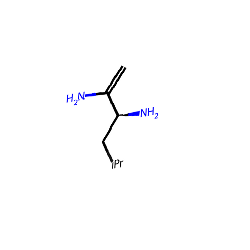 C=C(N)[C@@H](N)CC(C)C